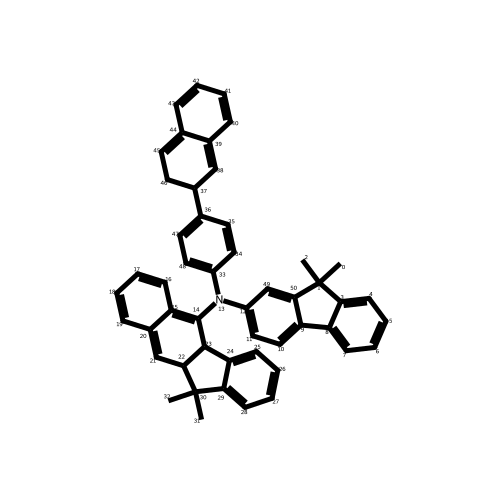 CC1(C)c2ccccc2-c2ccc(N(C3=c4ccccc4=CC4C3c3ccccc3C4(C)C)c3ccc(C4C=c5ccccc5=CC4)cc3)cc21